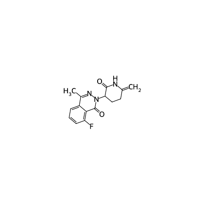 C=C1CCC(n2nc(C)c3cccc(F)c3c2=O)C(=O)N1